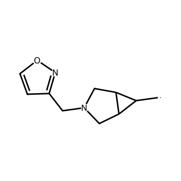 [CH2]C1C2CN(Cc3ccon3)CC12